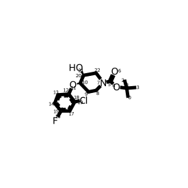 CC(C)(C)OC(=O)N1CC[C@H](Oc2ccc(F)cc2Cl)[C@@H](O)C1